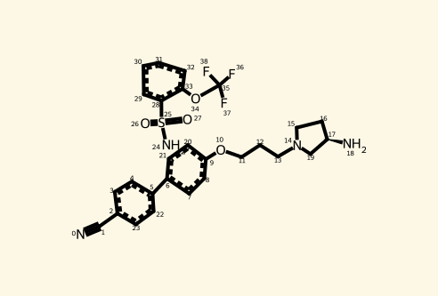 N#Cc1ccc(-c2ccc(OCCCN3CC[C@@H](N)C3)cc2)cc1.NS(=O)(=O)c1ccccc1OC(F)(F)F